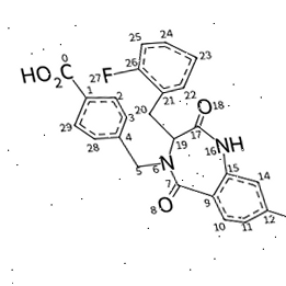 O=C(O)c1ccc(CN2C(=O)c3ccc(Cl)cc3NC(=O)C2Cc2ccccc2F)cc1